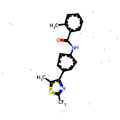 Cc1ccccc1C(=O)Nc1ccc(-c2nc(C(F)(F)F)sc2C)cc1